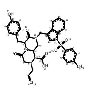 C=CCN1CC(=O)N2C(Cc3ccc(O)cc3)C(=O)N(Cc3cn(S(=O)(=O)c4ccc(C)cc4)c4ccccc34)CC2N1C(=O)O